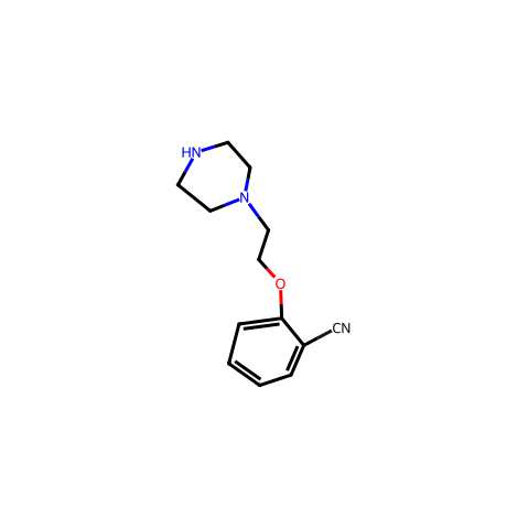 N#Cc1ccccc1OCCN1CCNCC1